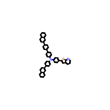 c1ccc2cc(-c3ccc(-c4ccc(N(c5ccc(-c6ccc7ccccc7c6)cc5)c5ccc(-c6cc7cccnc7s6)cc5)cc4)cc3)ccc2c1